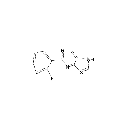 Fc1ccccc1-c1ncc2[nH]cnc2n1